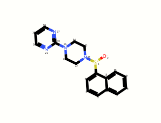 [O-][S+](c1cccc2ccccc12)N1CCN(c2ncccn2)CC1